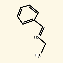 CC[SH]=Cc1ccccc1